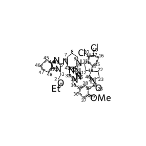 CCOCCn1c(N2CCCN(CCC3(c4ccc(Cl)c(Cl)c4)CCN(C(=O)c4cc(Cn5cnnn5)ccc4OC)C3)CC2)nc2ccccc21